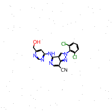 N#Cc1cnc(Nc2cc(CO)ncn2)c2cn(-c3c(Cl)cccc3Cl)nc12